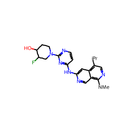 CNc1ncc(C(C)C)c2cc(Nc3ccnc(N4CCC(O)C(F)C4)n3)ncc12